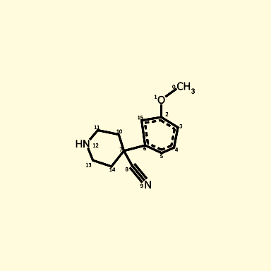 COc1cccc(C2(C#N)CCNCC2)c1